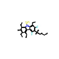 CCCCC(C)(C)c1c(F)c(CC)c2c(c1F)c1c(CC)c(CC)c(C)c(CC)c1n2S